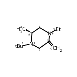 C=C1CN(C(C)(C)C)[C@@H](C)CN1CC